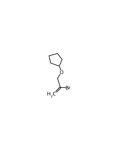 C=C(Br)COC1CCCC1